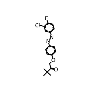 CC(C)(C)C(=O)COc1ccc(N=Nc2ccc(F)c(Cl)c2)cc1